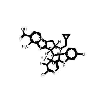 Cc1c(C(=O)O)ccn2c3c(nc12)[C@H]1[C@H](C2(C)C=CN=C(Cl)C2F)[C@]2(C(=O)Nc4cc(Cl)ccc42)N(CC2CC2)[C@H]1C3